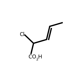 CC=CC(Cl)C(=O)O